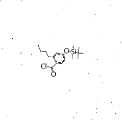 CCCCc1cc(O[Si](C)(C)C(C)(C)C)ccc1C(=O)Cl